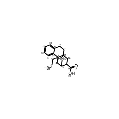 Br.CC[C@@]12CC3NC(Cc4ccccc41)C2CC3C(=O)O